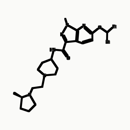 CCC(CC)Oc1ccc2c(C(=O)NC3CCN(CCN4CCC[C@H]4C)CC3)nn(C)c2n1